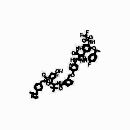 Cc1ncsc1-c1ccc(CNC(=O)[C@@H]2C[C@@H](O)CC2C(=O)[C@@H](NC(=O)c2cccc(COc3ccc(Nc4[nH]nc(-c5ccc(NS(=O)(=O)C(F)F)c(O[C@@H](C)c6ccc(F)cc6)c5)c4C(N)=O)nc3)c2)C(C)(C)C)cc1